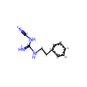 N#CNC(=N)NCCc1ccccc1